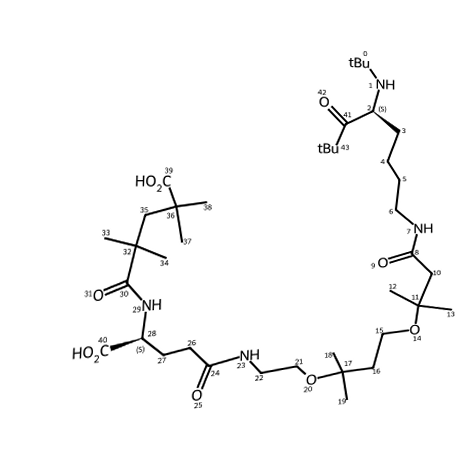 CC(C)(C)N[C@@H](CCCCNC(=O)CC(C)(C)OCCC(C)(C)OCCNC(=O)CC[C@H](NC(=O)C(C)(C)CC(C)(C)C(=O)O)C(=O)O)C(=O)C(C)(C)C